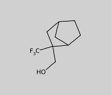 OCC1(C(F)(F)F)CC2CCC1C2